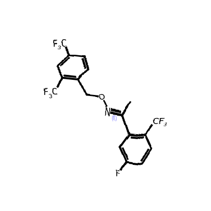 C/C(=N\OCc1ccc(C(F)(F)F)cc1C(F)(F)F)c1cc(F)ccc1C(F)(F)F